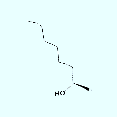 [CH2][C@@H](O)CCCCCC